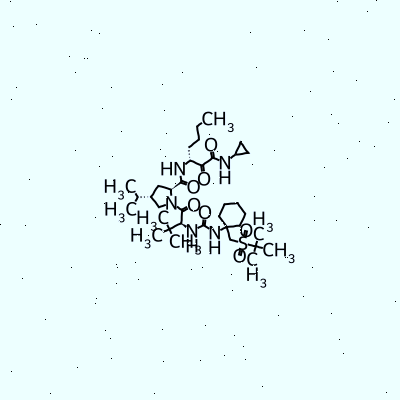 CCCC[C@@H](NC(=O)[C@@H]1C[C@@H](C(C)C)CN1C(=O)[C@@H](NC(=O)NC1(CS(=O)(=O)C(C)(C)C)CCCCC1)C(C)(C)C)C(=O)C(=O)NC1CC1